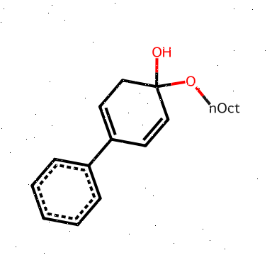 CCCCCCCCOC1(O)C=CC(c2ccccc2)=CC1